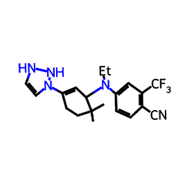 CCN(c1ccc(C#N)c(C(F)(F)F)c1)C1C=C(N2C=CNN2)CCC1(C)C